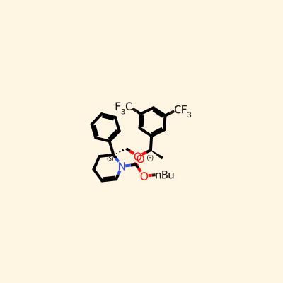 CCCCOC(=O)N1C=CCC[C@@]1(CO[C@H](C)c1cc(C(F)(F)F)cc(C(F)(F)F)c1)c1ccccc1